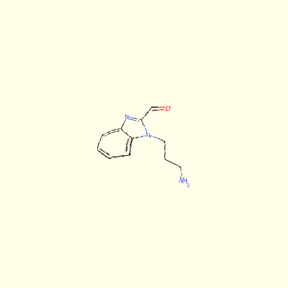 NCCCn1c(C=O)nc2ccccc21